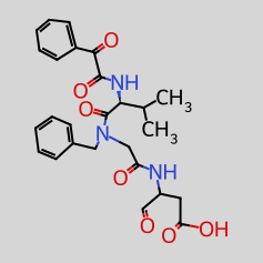 CC(C)[C@H](NC(=O)C(=O)c1ccccc1)C(=O)N(CC(=O)NC(C=O)CC(=O)O)Cc1ccccc1